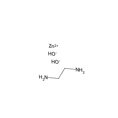 NCCN.[OH-].[OH-].[Zn+2]